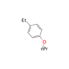 C[CH]c1ccc(OCCC)cc1